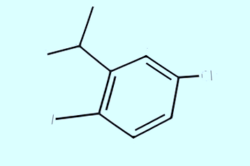 [CH2]C(C)c1cc(Cl)ccc1I